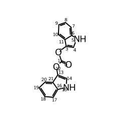 O=C(Oc1c[nH]c2ccccc12)Oc1c[nH]c2ccccc12